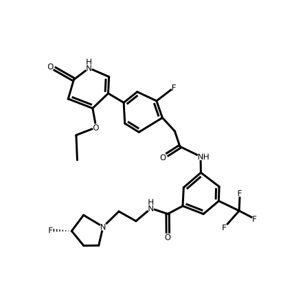 CCOc1cc(=O)[nH]cc1-c1ccc(CC(=O)Nc2cc(C(=O)NCCN3CC[C@H](F)C3)cc(C(F)(F)F)c2)c(F)c1